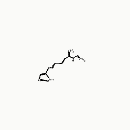 C=CNC(=C)CCCCCc1cnc[nH]1